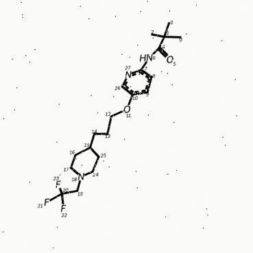 CC(C)(C)C(=O)Nc1ccc(OCCCC2CCN(CC(F)(F)F)CC2)cn1